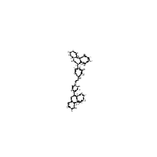 C(=Cc1ccc(-c2cc3ccccc3c3ccccc23)cc1)c1ccc(-c2cc3ccccc3c3ccccc23)cc1